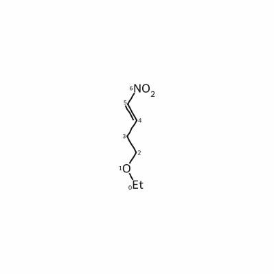 CCOCCC=C[N+](=O)[O-]